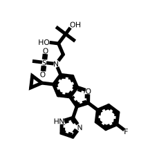 CC(C)(O)C(O)CN(c1cc2oc(-c3ccc(F)cc3)c(-c3ncc[nH]3)c2cc1C1CC1)S(C)(=O)=O